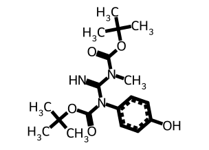 CN(C(=N)N(C(=O)OC(C)(C)C)c1ccc(O)cc1)C(=O)OC(C)(C)C